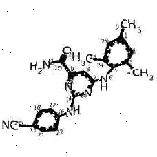 Cc1cc(C)c(Nc2cc(C(N)=O)nc(Nc3ccc(C#N)cc3)n2)c(C)c1